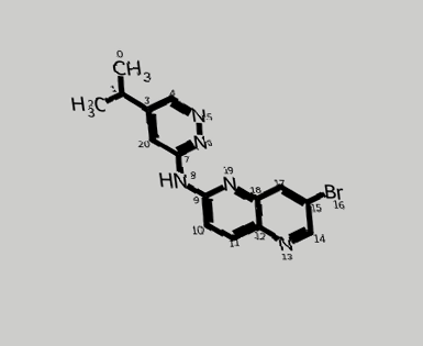 CC(C)c1cnnc(Nc2ccc3ncc(Br)cc3n2)c1